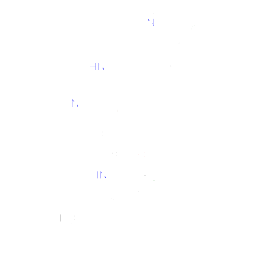 CC1=C(NC(=O)c2cnc(Nc3ccc(Cl)nc3)s2)C(Cl)=CCC1